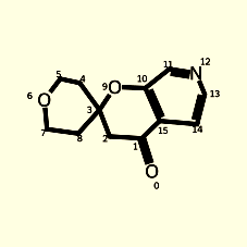 O=C1CC2(CCOCC2)Oc2cnccc21